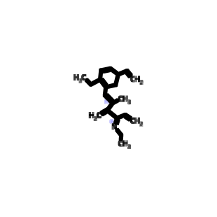 C=C/C(=N\CC)C(=C)/C(C)=C/C1=C(CC)C=CC(C=C)C1